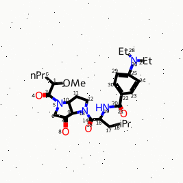 CCCC(OC)C(=O)N1CC(=O)C2C1CCN2C(=O)C(CC(C)C)NC(=O)c1ccc(N(CC)CC)cc1